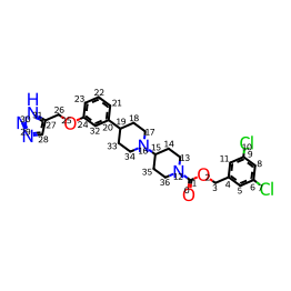 O=C(OCc1cc(Cl)cc(Cl)c1)N1CCC(N2CCC(c3cccc(OCc4cnn[nH]4)c3)CC2)CC1